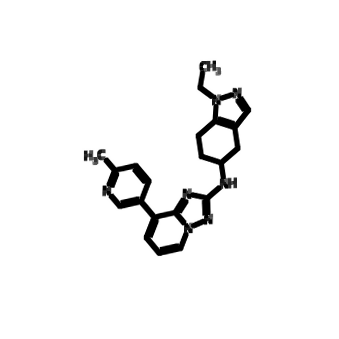 CCn1ncc2c1CCC(Nc1nc3c(-c4ccc(C)nc4)cccn3n1)C2